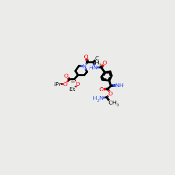 CCO[C@H](C(=O)OC(C)C)C1CCN(C(=O)C(C)NC(=O)c2ccc(C(=N)C(=O)OC(C)N)cc2)CC1